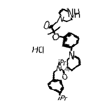 CC(C)c1ccc(CN(C(=O)[C@H]2CCCN(c3cccc(OC(C)(C)C(=O)N4CCNCC4)c3)C2)C(C)C)cc1.Cl